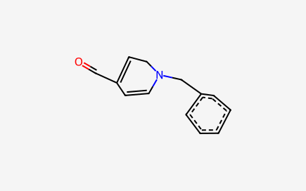 O=CC1=CCN(Cc2ccccc2)C=C1